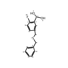 OB(O)c1cc(CSCc2ccccc2)ccc1F